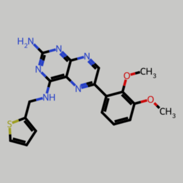 COc1cccc(-c2cnc3nc(N)nc(NCc4cccs4)c3n2)c1OC